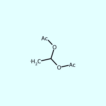 [CH2]C(OC(C)=O)OC(C)=O